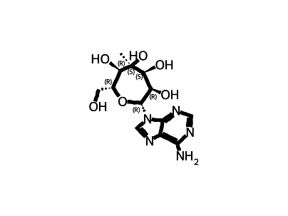 C[C@@]1(O)[C@H](O)[C@@H](CO)O[C@@H](n2cnc3c(N)ncnc32)[C@H](O)[C@@H]1O